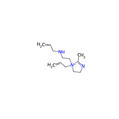 C=CCNCC[N+]1(CC=C)CCN=C1C